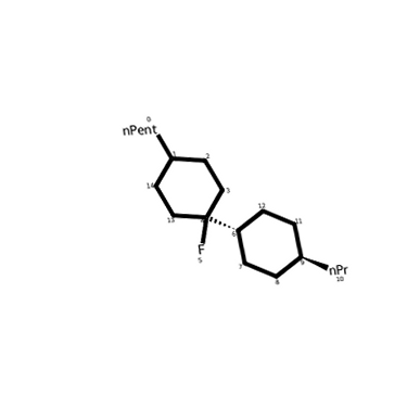 CCCCCC1CCC(F)([C@H]2CC[C@H](CCC)CC2)CC1